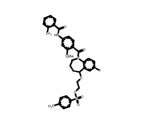 COc1cc(NC(=O)c2ccccc2C)ccc1C(=O)N1CCCC(OCCOS(=O)(=O)c2ccc(C)cc2)c2cc(F)ccc21